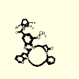 COc1cc(C(=O)N2C[C@H]3CC[C@@H]2[C@@H]3N)cc2nc3n(c12)CC1CC(=O)N(C1)c1ccccc1CCCCn1c-3cc2cccnc21